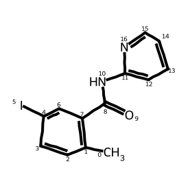 Cc1ccc(I)cc1C(=O)Nc1ccccn1